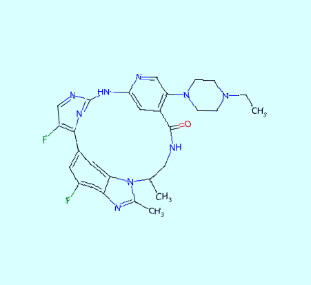 CCN1CCN(c2cnc3cc2C(=O)NCC(C)n2c(C)nc4c(F)cc(cc42)-c2nc(ncc2F)N3)CC1